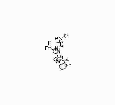 Cc1ccccc1C1(c2noc(-c3cc(C(F)F)n(CC(=O)NC4COC4)n3)n2)CC1